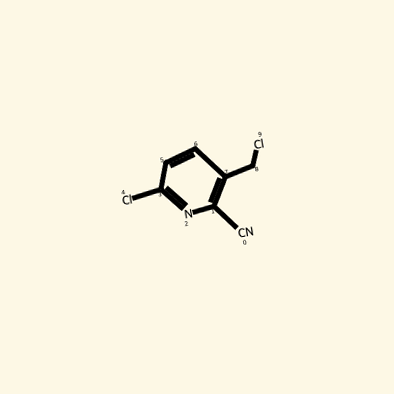 N#Cc1nc(Cl)ccc1CCl